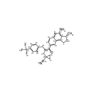 C[C@H]1OCc2c1c(N)nc1ccc(C(=O)N(Cc3ccc(C(F)(F)F)cn3)CC3(C#N)CC3)cc21